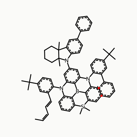 C/C=C\C=C\c1cc(C(C)(C)C)ccc1N1c2cc(N3c4ccc(-c5ccccc5)cc4C4(C)CCCCC34C)cc3c2B2c4c1cccc4[Si](C)(C)c1cccc(c12)N3c1ccc(C(C)(C)C)cc1-c1ccccn1